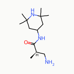 C[C@H](CN)C(=O)NC1CC(C)(C)NC(C)(C)C1